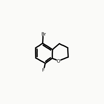 Fc1ccc(Br)c2c1OCCC2